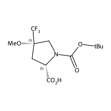 CO[C@@]1(C(F)(F)F)C[C@@H](C(=O)O)N(C(=O)OC(C)(C)C)C1